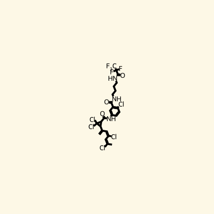 C=C(/C=C(Cl)\C=C(/C)Cl)C1C(C(=O)Nc2ccc(Cl)c(C(=O)NCCCCNC(=O)C(F)(F)C(F)(F)F)c2)C1(Cl)Cl